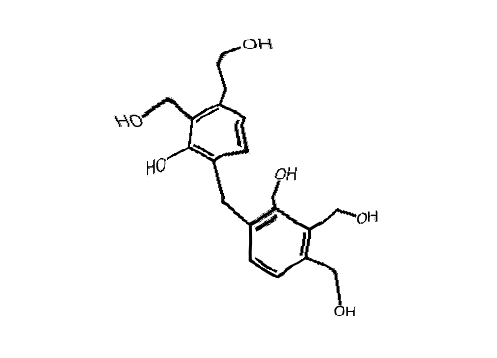 OCc1ccc(Cc2ccc(CO)c(CO)c2O)c(O)c1CO